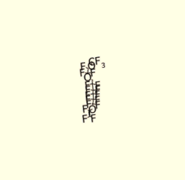 FC(F)=C(F)OC(F)(F)C(F)(F)C(F)(F)C(F)(F)C(F)(F)COC(F)(F)C(F)OC(F)(F)F